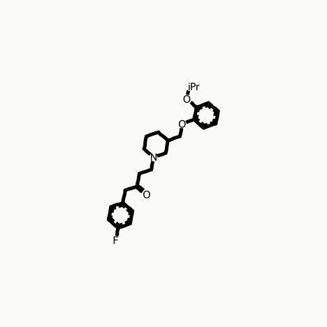 CC(C)Oc1ccccc1OCC1CCCN(CCC(=O)Cc2ccc(F)cc2)C1